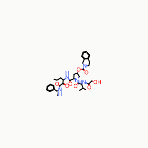 CCCC(NC(=O)C1CC(OC(=O)N2CCc3ccccc3C2)CN1C(=O)[C@@H](NC(=O)CO)C(C)C)C(=O)C(=O)N[C@@H](C)c1ccccc1